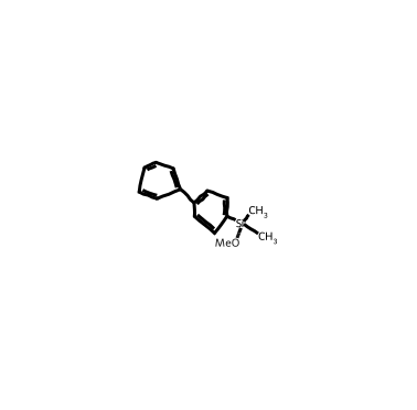 CO[Si](C)(C)c1ccc(-c2ccccc2)cc1